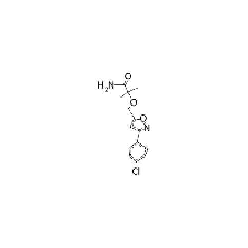 CC(C)(OCc1cc(-c2ccc(Cl)cc2)no1)C(N)=O